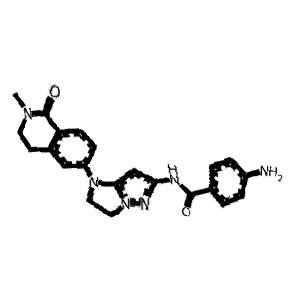 CN1CCc2cc(N3CCn4nc(NC(=O)c5ccc(N)cc5)cc43)ccc2C1=O